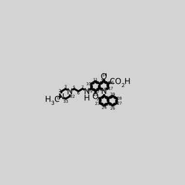 CN1CCN(CCCNc2ccc3c(=O)c(C(=O)O)cn4c3c2Oc2ccc3ccccc3c2-4)CC1